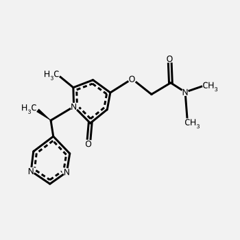 Cc1cc(OCC(=O)N(C)C)cc(=O)n1[C@H](C)c1cncnc1